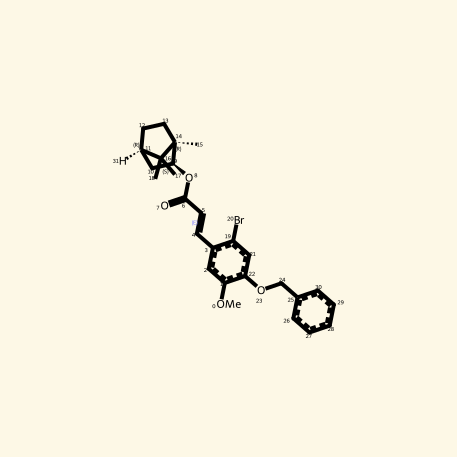 COc1cc(/C=C/C(=O)O[C@H]2C[C@H]3CC[C@]2(C)C3(C)C)c(Br)cc1OCc1ccccc1